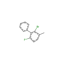 Cc1ccc(F)c(-c2ccccc2)c1Br